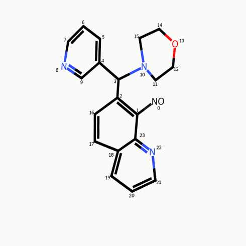 O=Nc1c(C(c2cccnc2)N2CCOCC2)ccc2cccnc12